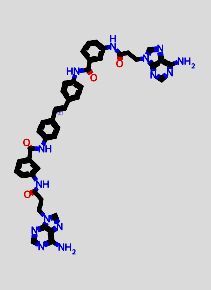 Nc1ncnc2c1ncn2CCC(=O)Nc1cccc(C(=O)Nc2ccc(/C=C/c3ccc(NC(=O)c4cccc(NC(=O)CCn5cnc6c(N)ncnc65)c4)cc3)cc2)c1